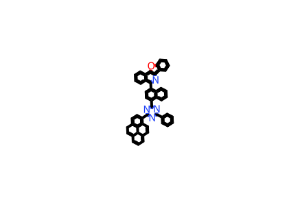 C1=CC2=CCc3ccc(-c4nc(-c5ccccc5)nc(-c5ccc(-c6nc7c8ccccc8oc7c7ccccc67)c6ccccc56)n4)c4c3C2C(=C1)C=C4